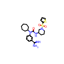 N=C(N)c1cccc(N(C(=O)NC2CCCN(S(=O)(=O)c3cccs3)C2)C2CCCCCC2)c1